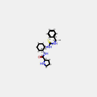 C[C@H](NC(=S)N[C@@H]1CCCC[C@H]1NC(=O)C1CCCN1)c1ccccc1